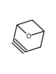 C1#CC2CC(C1)O2